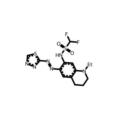 CCN1CCCc2cc(N=Nc3nncs3)c(NS(=O)(=O)C(F)F)cc21